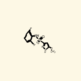 COc1cc(S(=O)(=O)Nc2c(F)cccc2F)n[nH]1